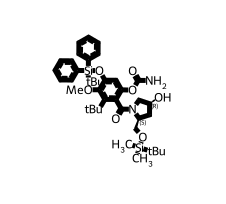 COc1c(O[Si](c2ccccc2)(c2ccccc2)C(C)(C)C)cc(OC(N)=O)c(C(=O)N2C[C@H](O)C[C@H]2CO[Si](C)(C)C(C)(C)C)c1C(C)(C)C